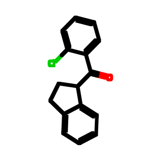 O=C(c1ccccc1Cl)C1CCc2ccccc21